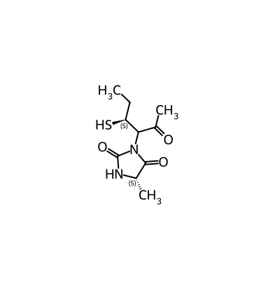 CC[C@H](S)C(C(C)=O)N1C(=O)N[C@@H](C)C1=O